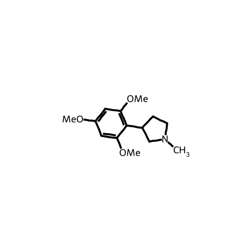 COc1cc(OC)c(C2CCN(C)C2)c(OC)c1